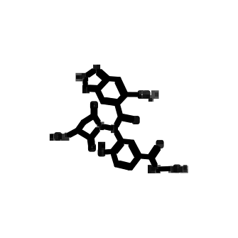 CCCCCCCCNC(=O)c1ccc(O)c(N(C(=O)c2cc3n[nH]nc3cc2C(=O)O)N2C(=O)CC(CCCCCCCC)C2=O)c1